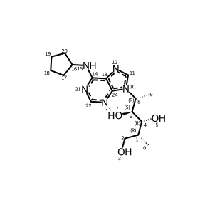 C[C@H](CO)[C@@H](O)[C@@H](O)[C@@H](C)n1cnc2c(NC3CCCC3)ncnc21